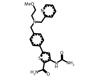 COCCN(Cc1ccc(-c2cc(NC(N)=O)c(C(N)=O)s2)cc1)Cc1ccccn1